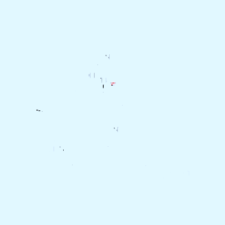 CO[C@@H](C(=O)N(C)C)[C@]1(O)/C=C/C[C@H](C)[C@@H](C)S(=O)(=O)NC(=O)c2ccc3c(c2)N(CCCCc2cc(Cl)ccc2CO3)C[C@@H]2CC[C@H]21